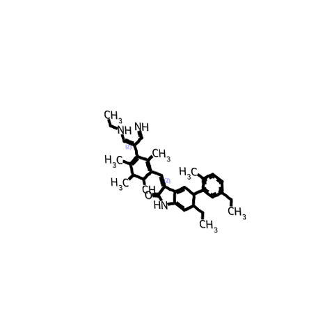 CCN/C=C(\C=N)C1=C(C)C(C)C(C)C(/C=C2\C(=O)NC3=CC(CC)C(c4cc(CC)ccc4C)C=C32)=C1C